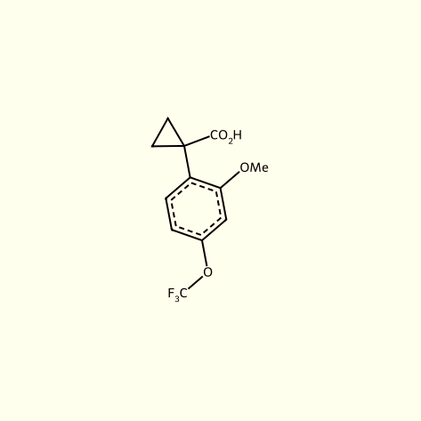 COc1cc(OC(F)(F)F)ccc1C1(C(=O)O)CC1